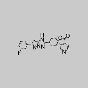 O=C1O[C@]2(CC[C@H](c3nn4nc(-c5cccc(F)c5)cc4[nH]3)CC2)c2cnccc21